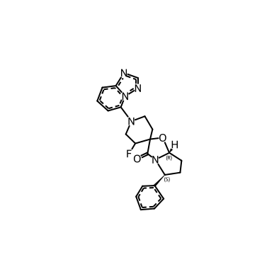 O=C1N2[C@@H](CC[C@H]2c2ccccc2)OC12CCN(c1cccc3ncnn13)CC2F